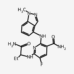 CCC(Nc1nc(Nc2cccc3c2cnn3C)c(C(N)=O)cc1F)C(N)=O